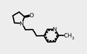 Cc1ccc(CCCN2CCCC2=O)cn1